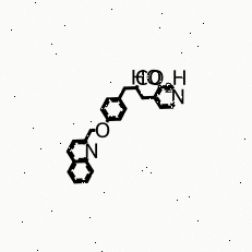 O=C(O)C(Cc1ccc(OCc2ccc3ccccc3n2)cc1)Cc1ccncc1O